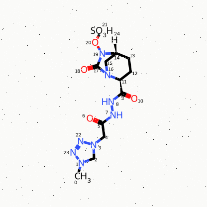 CN1CN(CC(=O)NNC(=O)[C@@H]2CC[C@@H]3CN2C(=O)N3OS(=O)(=O)O)N=N1